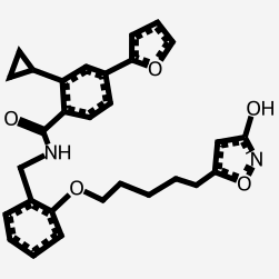 O=C(NCc1ccccc1OCCCCCc1cc(O)no1)c1ccc(-c2ccco2)cc1C1CC1